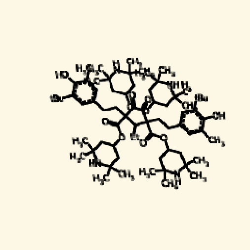 CCC(C(CCc1cc(C)c(O)c(C(C)(C)C)c1)(C(=O)OC1CC(C)(C)NC(C)(C)C1)C(=O)OC1CC(C)(C)NC(C)(C)C1)C(CCc1cc(C)c(O)c(C(C)(C)C)c1)(C(=O)OC1CC(C)(C)NC(C)(C)C1)C(=O)OC1CC(C)(C)NC(C)(C)C1